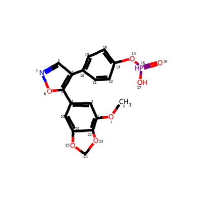 COc1cc(-c2oncc2-c2ccc(O[PH](=O)O)cc2)cc2c1OCO2